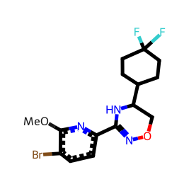 COc1nc(C2=NOCC(C3CCC(F)(F)CC3)N2)ccc1Br